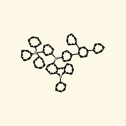 c1ccc(-c2ccc(-c3ccc(N(c4cccc([Si](c5ccccc5)(c5ccccc5)c5ccccc5)c4)c4cccc5c4c4ccccc4n5-c4ccccc4)cc3)c(-c3ccccc3)c2)cc1